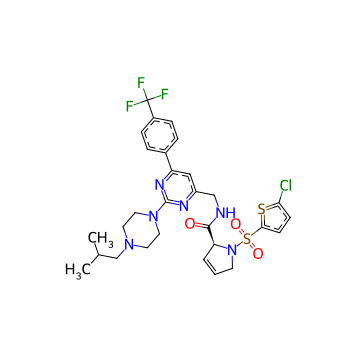 CC(C)CN1CCN(c2nc(CNC(=O)[C@@H]3C=CCN3S(=O)(=O)c3ccc(Cl)s3)cc(-c3ccc(C(F)(F)F)cc3)n2)CC1